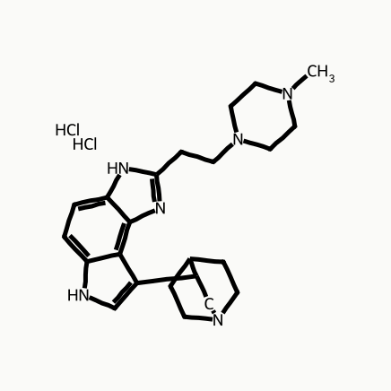 CN1CCN(CCc2nc3c(ccc4[nH]cc(C5CN6CCC5CC6)c43)[nH]2)CC1.Cl.Cl